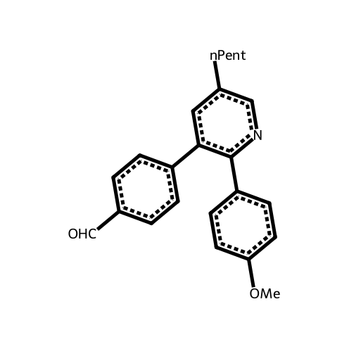 CCCCCc1cnc(-c2ccc(OC)cc2)c(-c2ccc(C=O)cc2)c1